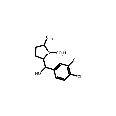 CC1CCC(C(O)c2ccc(Cl)c(Cl)c2)N1C(=O)O